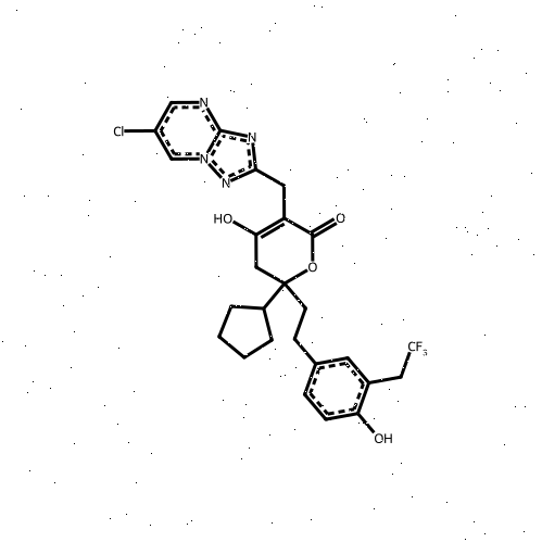 O=C1OC(CCc2ccc(O)c(CC(F)(F)F)c2)(C2CCCC2)CC(O)=C1Cc1nc2ncc(Cl)cn2n1